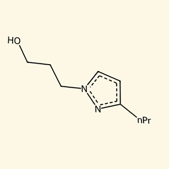 CCCc1ccn(CCCO)n1